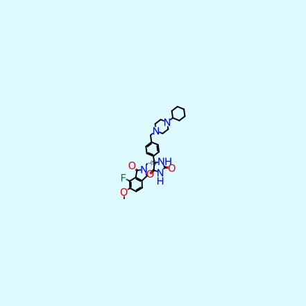 COc1ccc2c(c1F)C(=O)N(C[C@]1(c3ccc(CN4CCN(C5CCCCC5)CC4)cc3)NC(=O)NC1=O)C2